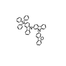 c1ccc([Si](c2ccccc2)(c2ccccc2)c2ccc3c(c2)c2ccccc2n3-c2ccc3c4ccccc4n(-c4ccc5c(c4)oc4ccccc45)c3c2)cc1